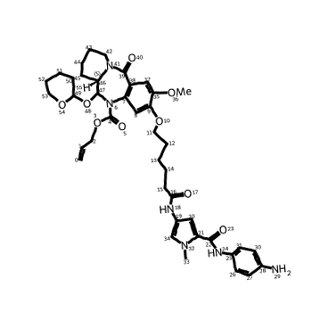 C=CCOC(=O)N1c2cc(OCCCCCC(=O)Nc3cc(C(=O)Nc4ccc(N)cc4)n(C)c3)c(OC)cc2C(=O)N2CCCC[C@H]2C1OC1CCCCO1